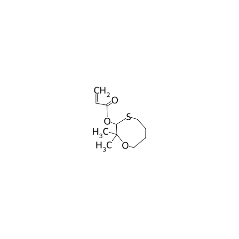 C=CC(=O)OC1SCCCCOC1(C)C